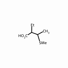 CCC([C](C)SC)C(=O)O